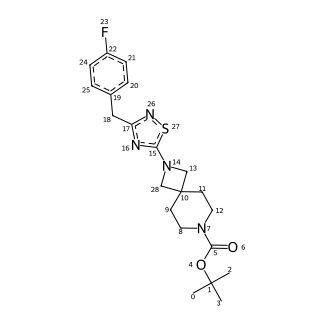 CC(C)(C)OC(=O)N1CCC2(CC1)CN(c1nc(Cc3ccc(F)cc3)ns1)C2